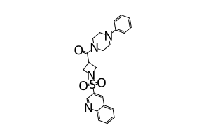 O=C(C1CN(S(=O)(=O)c2cnc3ccccc3c2)C1)N1CCN(c2ccccc2)CC1